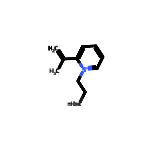 C=C(C)c1cccc[n+]1CCCCCCCC